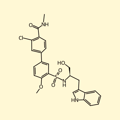 CNC(=O)c1ccc(-c2ccc(OC)c(S(=O)(=O)N[C@@H](CO)Cc3c[nH]c4ccccc34)c2)cc1Cl